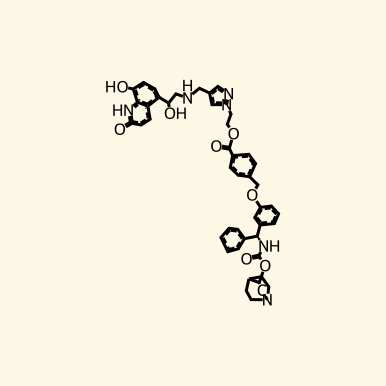 O=C(N[C@@H](c1ccccc1)c1cccc(OCc2ccc(C(=O)OCCn3cc(CNCC(O)c4ccc(O)c5[nH]c(=O)ccc45)cn3)cc2)c1)OC1CN2CCC1CC2